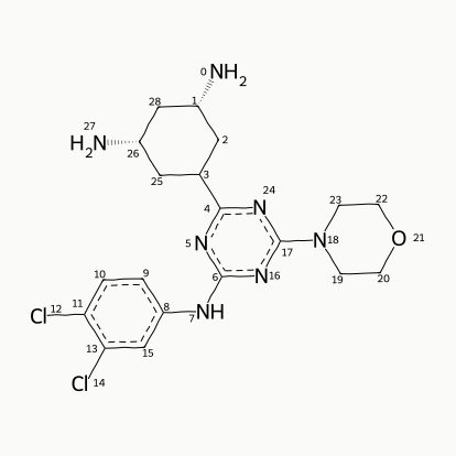 N[C@@H]1CC(c2nc(Nc3ccc(Cl)c(Cl)c3)nc(N3CCOCC3)n2)C[C@H](N)C1